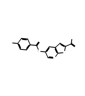 Nc1ccc(C(=O)Nc2cnc3[nH]c(C(=O)I)cc3c2)cc1